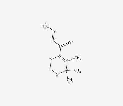 C/C=C/C(=O)C1=C(C)C(C)(C)CCC1